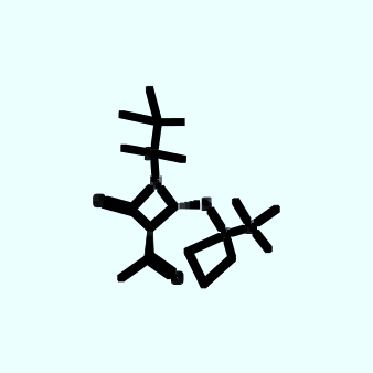 CC(=O)[C@H]1C(=O)N([Si](C)(C)C(C)(C)C)[C@@H]1SS1([Si](C)(C)C)CCC1